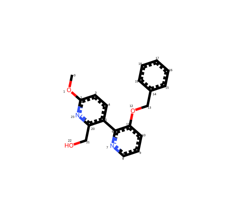 COc1ccc(-c2ncccc2OCc2ccccc2)c(CO)n1